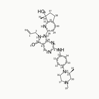 C=CCn1c(=O)c2cnc(Nc3ccc(N4CCN(C)C[C@@H]4C)cc3)nc2n1-c1ccc2c(n1)[C@](C)(O)CC2